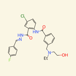 CCN(CCO)Cc1cccc(C(=O)Nc2ccc(Cl)cc2C(=O)NN=Cc2ccc(F)cc2)c1